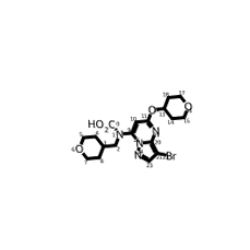 O=C(O)N(CC1CCOCC1)c1cc(OC2CCOCC2)nc2c(Br)cnn12